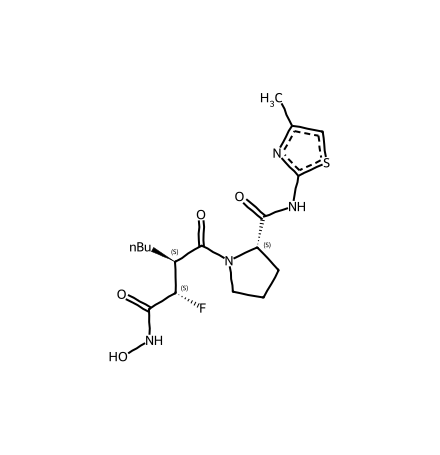 CCCC[C@@H](C(=O)N1CCC[C@H]1C(=O)Nc1nc(C)cs1)[C@H](F)C(=O)NO